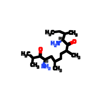 CCC(C)[C@@H](N)C(=O)C(C)CCC(C)C[C@@H](N)C(=O)C(C)C